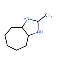 CC1NC2CCCCCC2N1